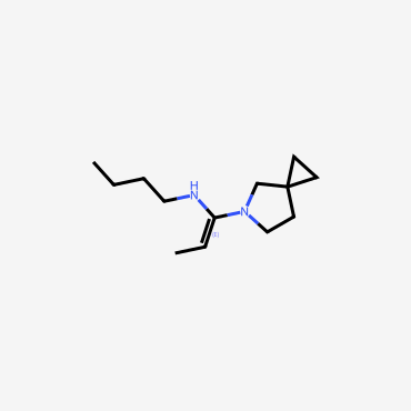 C/C=C(\NCCCC)N1CCC2(CC2)C1